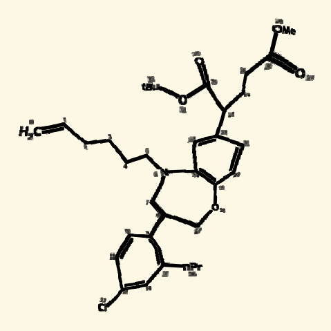 C=CCCCCN1CC(c2ccc(Cl)cc2CCC)COc2ccc(C(CCC(=O)OC)C(=O)OC(C)(C)C)cc21